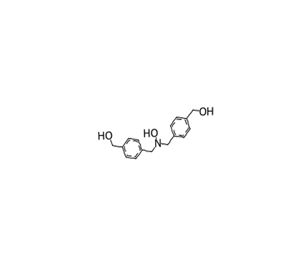 OCc1ccc(CN(O)Cc2ccc(CO)cc2)cc1